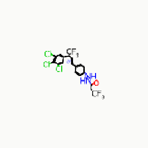 O=C(CC(F)(F)F)NNc1ccc(/C=C/C(c2cc(Cl)c(Cl)c(Cl)c2)C(F)(F)F)cc1